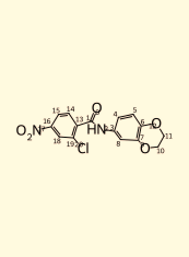 O=C(Nc1ccc2c(c1)OCCO2)c1ccc([N+](=O)[O-])cc1Cl